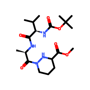 COC(=O)C1CCCN(C(=O)[C@H](C)NC(=O)[C@@H](NC(=O)OC(C)(C)C)C(C)C)N1